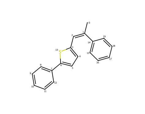 CC(=Cc1ccc(-c2ccccc2)s1)c1ccccc1